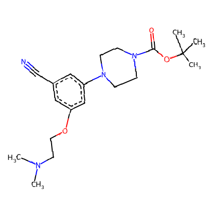 CN(C)CCOc1cc(C#N)cc(N2CCN(C(=O)OC(C)(C)C)CC2)c1